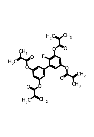 C=C(C)C(=O)Oc1cc(OC(=O)C(=C)C)cc(-c2cc(OC(=O)C(=C)C)cc(OC(=O)C(=C)C)c2F)c1